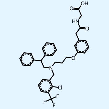 O=C(O)CNC(=O)Cc1cccc(OCCCN(Cc2cccc(C(F)(F)F)c2Cl)CC(c2ccccc2)c2ccccc2)c1